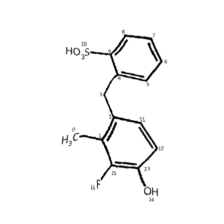 Cc1c(Cc2ccccc2S(=O)(=O)O)ccc(O)c1F